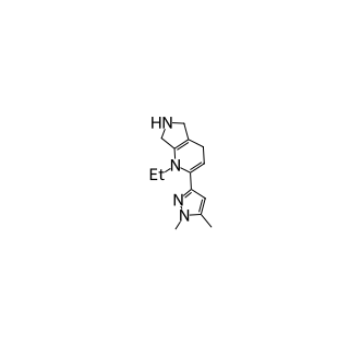 CCN1C(c2cc(C)n(C)n2)=CCC2=C1CNC2